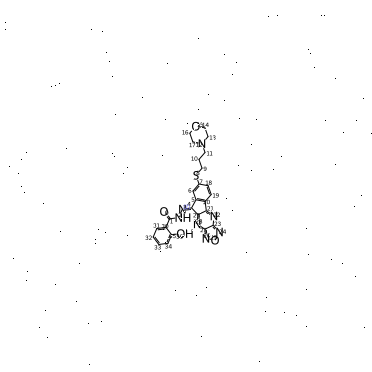 O=C(N/N=C1/c2cc(SCCCN3CCOCC3)ccc2-c2nc3nonc3nc21)c1ccccc1O